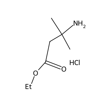 CCOC(=O)CC(C)(C)N.Cl